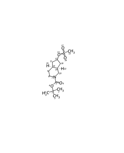 CC(C)(C)OC(=O)N1CC[C@H]2CC(OS(C)(=O)=O)C[C@H]2C1